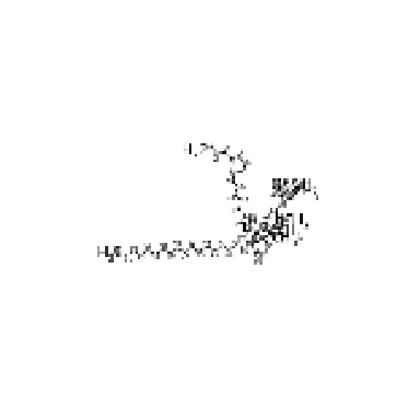 CCCCC/C=C\C/C=C\CCCCCCCCC1(CCCCCCCCCCCCCCCCCC)O[C@@H](C(C)(C)C(C)(C)N(C)CCOP(=O)(OC)OC)CC2CC21